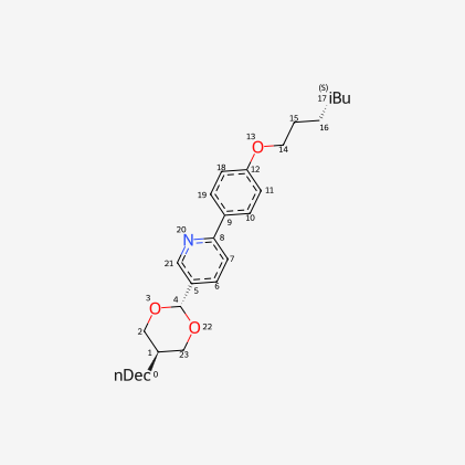 CCCCCCCCCC[C@H]1CO[C@H](c2ccc(-c3ccc(OCCC[C@@H](C)CC)cc3)nc2)OC1